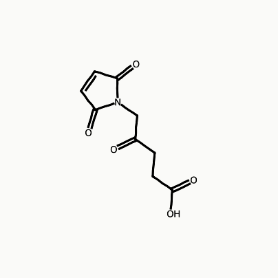 O=C(O)CCC(=O)CN1C(=O)C=CC1=O